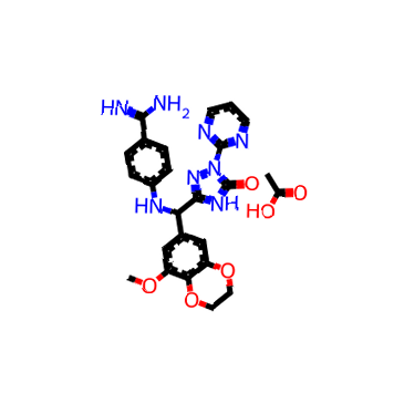 CC(=O)O.COc1cc(C(Nc2ccc(C(=N)N)cc2)c2nn(-c3ncccn3)c(=O)[nH]2)cc2c1OCCO2